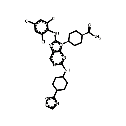 NC(=O)[C@H]1CC[C@@H](n2c(Nc3c(Cl)cc(Cl)cc3Cl)nc3cnc(NC4CCC(c5ncno5)CC4)nc32)CC1